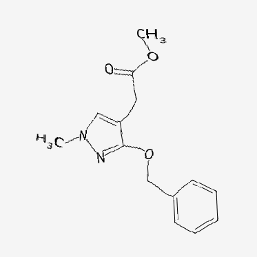 COC(=O)Cc1cn(C)nc1OCc1ccccc1